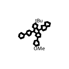 COc1ccc(-c2ccc3c(-c4ccc5ccccc5c4)c4cc(C(C)(C)C)ccc4c(-c4ccc(-c5ccccc5)cc4)c3c2)cc1